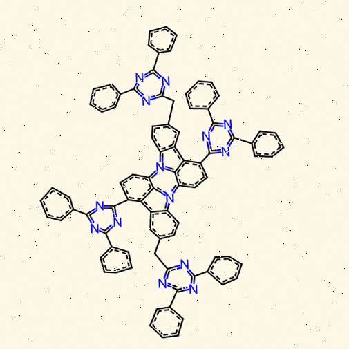 c1ccc(-c2nc(Cc3ccc4c(c3)c3c(-c5nc(-c6ccccc6)nc(-c6ccccc6)n5)ccc5c3n4c3ccc(-c4nc(-c6ccccc6)nc(-c6ccccc6)n4)c4c6cc(Cc7nc(-c8ccccc8)nc(-c8ccccc8)n7)ccc6n5c43)nc(-c3ccccc3)n2)cc1